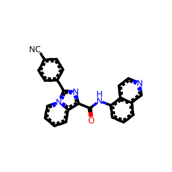 N#Cc1ccc(-c2nc(C(=O)Nc3cccc4cnccc34)c3ccccn23)cc1